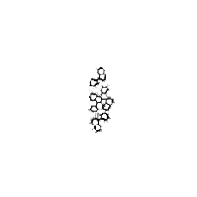 c1cc(-c2c3c(c(-c4cccc(-n5c6ccccc6c6c7ccccc7ccc65)c4)c4ccccc24)-c2cccc4cccc-3c24)cc(-n2c3ccccc3c3c4ccccc4ccc32)c1